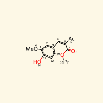 COc1cc(C=C(C(C)=O)C(=O)OC(C)C)ccc1O